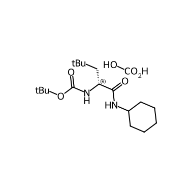 CC(C)(C)C[C@@H](NC(=O)OC(C)(C)C)C(=O)NC1CCCCC1.O=C(O)O